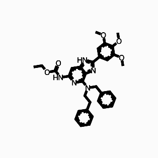 CCOC(=O)Nc1cc2[nH]c(-c3cc(OC)c(OC)c(OC)c3)nc2c(N(CCc2ccccc2)Cc2ccccc2)n1